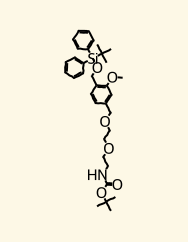 COc1cc(COCCOCCNC(=O)OC(C)(C)C)ccc1CO[Si](c1ccccc1)(c1ccccc1)C(C)(C)C